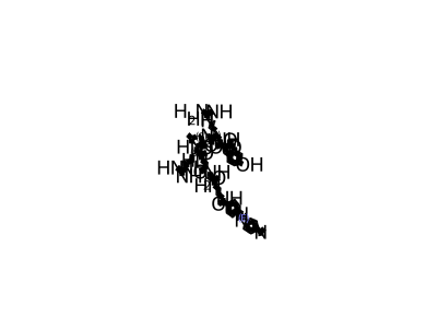 CC(C)C[C@H](NC(=O)[C@H](CCCNC(=N)N)NC(=O)c1cc2ccc(O)cc2oc1=O)C(=O)N[C@@H](CCCNC(=N)N)C(=O)NCC(=O)NCC(=O)NCCNC(=O)c1ccc(/N=N/c2ccc(N(C)C)cc2)cc1